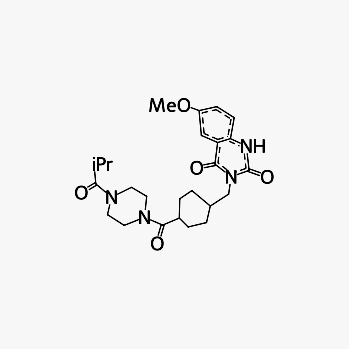 COc1ccc2[nH]c(=O)n(CC3CCC(C(=O)N4CCN(C(=O)C(C)C)CC4)CC3)c(=O)c2c1